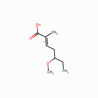 CCC(C/C=C(\C)C(=O)O)OC